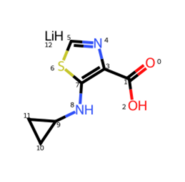 O=C(O)c1ncsc1NC1CC1.[LiH]